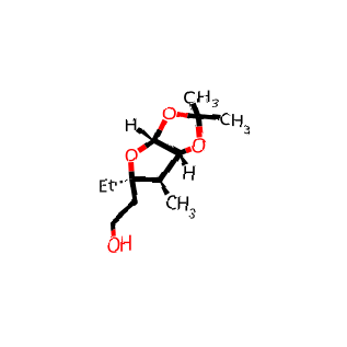 CC[C@]1(CCO)O[C@@H]2OC(C)(C)O[C@@H]2[C@H]1C